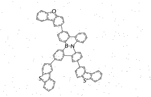 c1ccc2c(c1)-c1cc(-c3ccc4oc5ccccc5c4c3)ccc1B1c3ccc(-c4ccc5sc6ccccc6c5c4)cc3-c3cc(-c4ccc5sc6ccccc6c5c4)ccc3N12